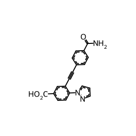 NC(=O)c1ccc(C#Cc2cc(C(=O)O)ccc2-n2cccn2)cc1